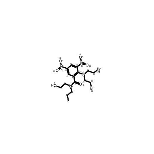 CCCN(CCO)C(=O)c1cc([N+](=O)[O-])cc([N+](=O)[O-])c1N(CCBr)CCBr